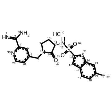 Cl.N=C(N)c1cc(CN2CC[C@H](NS(=O)(=O)c3cc4ccc(F)cc4s3)C2=O)ccn1